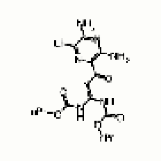 CCCOC(=O)NC(=NC(=O)c1nc(Cl)c(N)nc1N)NC(=O)OCCC